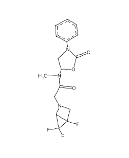 CN(C(=O)CN1CC2(F)C1C2(F)F)C1CN(c2ccccc2)C(=O)O1